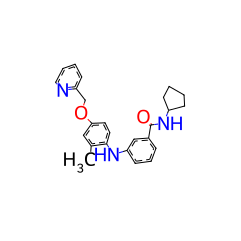 Cc1cc(OCc2ccccn2)ccc1Nc1cccc(C(=O)NC2CCCC2)c1